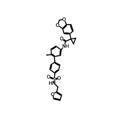 Cc1ccc(NC(=O)C2(c3ccc4c(c3)OCO4)CC2)cc1-c1ccc(S(=O)(=O)NCc2ccco2)cc1